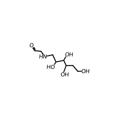 O=CCNCC(O)C(O)C(O)CCO